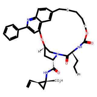 C=C[C@@H]1C[C@]1(NC(=O)[C@@H]1C[C@@H]2CN1C(=O)[C@H](CCC(C)C)NC(=O)OCCCCCc1ccc3nc(-c4ccccc4)cc(c3c1)O2)C(=O)O